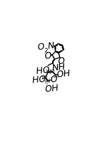 CC(N[C@H]1[C@@H](O)[C@H](O)[C@@H](CO)O[C@@H]1O)=C1C(=O)c2cccc([N+](=O)[O-])c2C1=O